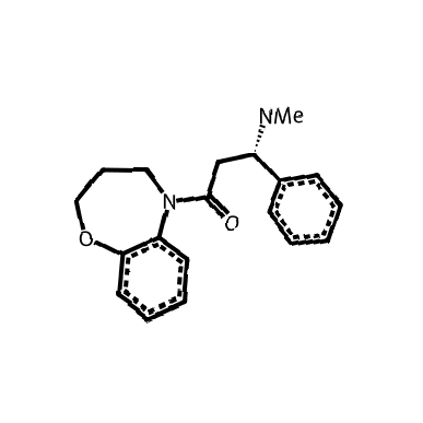 CN[C@@H](CC(=O)N1CCCOc2ccccc21)c1ccccc1